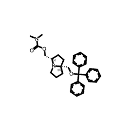 CN(C)C(=O)OC[C@@H]1CC[C@@]2(COC(c3ccccc3)(c3ccccc3)c3ccccc3)CCCN12